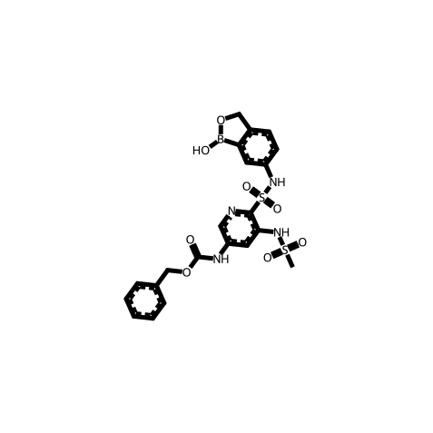 CS(=O)(=O)Nc1cc(NC(=O)OCc2ccccc2)cnc1S(=O)(=O)Nc1ccc2c(c1)B(O)OC2